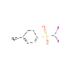 Cc1ccc(S(=O)(=O)C(I)I)cc1